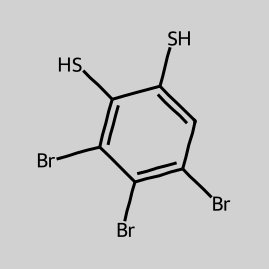 Sc1cc(Br)c(Br)c(Br)c1S